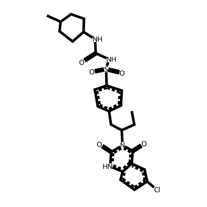 CCC(Cc1ccc(S(=O)(=O)NC(=O)NC2CCC(C)CC2)cc1)n1c(=O)[nH]c2ccc(Cl)cc2c1=O